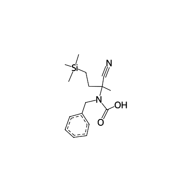 CC(C#N)(CC[Si](C)(C)C)N(Cc1ccccc1)C(=O)O